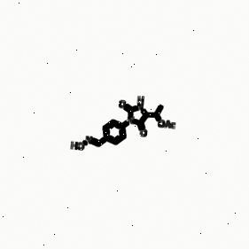 CC(=O)OC(C)C1NC(=O)N(c2ccc(C=NO)cc2)C1=O